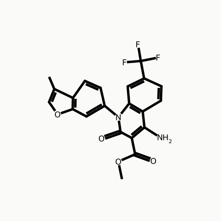 COC(=O)c1c(N)c2ccc(C(F)(F)F)cc2n(-c2ccc3c(C)coc3c2)c1=O